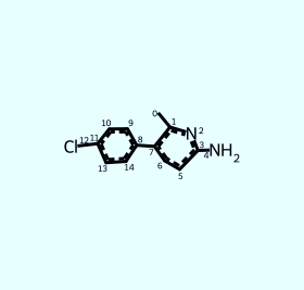 Cc1nc(N)ccc1-c1ccc(Cl)cc1